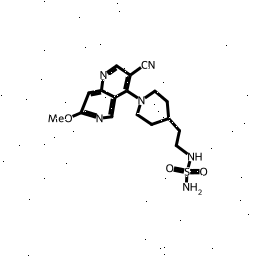 COc1cc2ncc(C#N)c(N3CCC(CCNS(N)(=O)=O)CC3)c2cn1